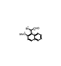 COc1ccc2ccccc2c1C(Br)C=O